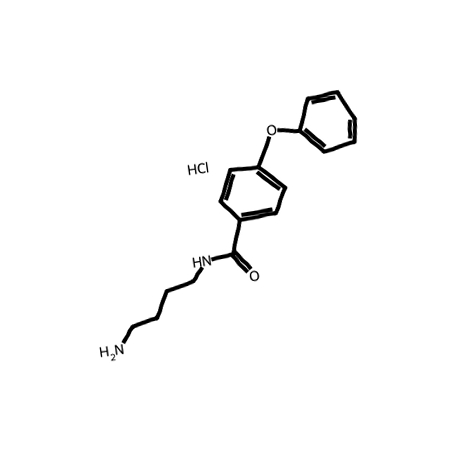 Cl.NCCCCNC(=O)c1ccc(Oc2ccccc2)cc1